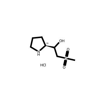 CS(=O)(=O)CC(O)[C@@H]1CCCN1.Cl